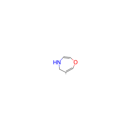 [C]1=COC=CNC1